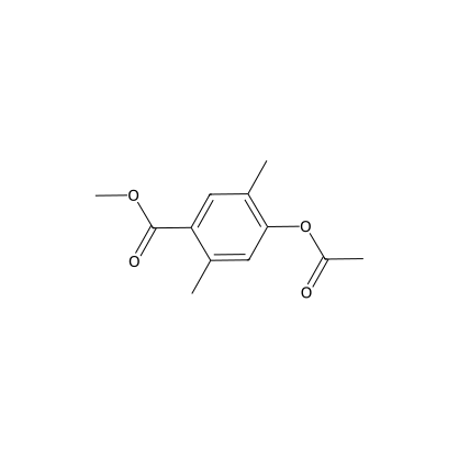 COC(=O)c1cc(C)c(OC(C)=O)cc1C